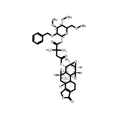 CCCCOCC1O[C@H](OC(=O)C(C)(C)CC(=O)O[C@@H]2[C@@]3(C(C)C)O[C@H]3[C@@H]3O[C@]34[C@]23O[C@H]3C[C@H]2C3=C(CC[C@@]24C)C(=O)OC3)C(OCc2ccccc2)[C@@H](OCCCC)[C@@H]1OCCCC